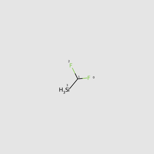 FC(F)[SiH3]